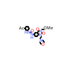 COCCn1c(=O)c2cc(NC(=O)Nc3cccc(C(C)=O)c3)ccc2n(CCN2CCOCC2)c1=O